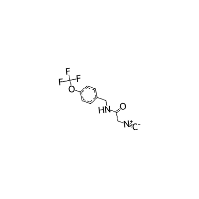 [C-]#[N+]CC(=O)NCc1ccc(OC(F)(F)F)cc1